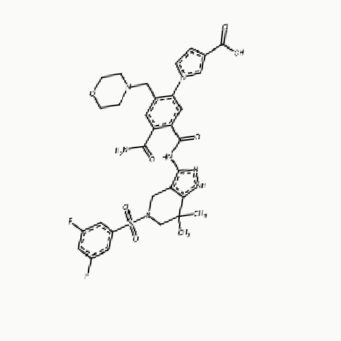 CC1(C)CN(S(=O)(=O)c2cc(F)cc(F)c2)Cc2c(NC(=O)c3cc(-n4ccc(C(=O)O)c4)c(CN4CCOCC4)cc3C(N)=O)n[nH]c21